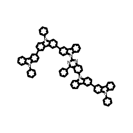 c1ccc(-c2nc(-n3c4ccccc4c4cc(-c5ccc6c(c5)c5cc(-c7ccc8c(c7)c7ccccc7n8-c7ccccc7)ccc5n6-c5ccccc5)ccc43)nc3ccc(-n4c5ccccc5c5cc(-c6ccc7c(c6)c6ccccc6n7-c6ccccc6)ccc54)cc23)cc1